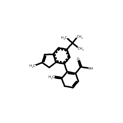 C=C1CC=CC(C([NH])=O)=C1c1cc(C(C)(C)C)cc2c1CC(C)=C2